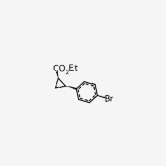 CCOC(=O)[C@@H]1C[C@@H]1c1ccc(Br)cc1